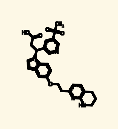 CS(=O)(=O)c1cncc(C(CC(=O)O)n2ccc3cc(OCCc4ccc5c(n4)NCCC5)ccc32)c1